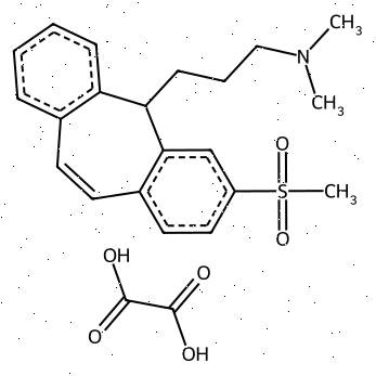 CN(C)CCCC1c2ccccc2C=Cc2ccc(S(C)(=O)=O)cc21.O=C(O)C(=O)O